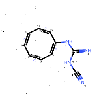 N#CNC(=N)NC1=C/C=C\C=C/C=C\1